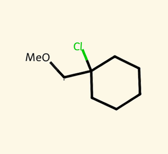 CO[CH]C1(Cl)CCCCC1